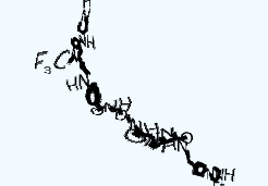 CC[C@H]1CN(c2ccc(CCNC(=O)c3cnc4c(ccn4CC(=O)NCCOCCNC(=O)c4ccc(NCC#Cc5cc6c(NC7CCNCC7)cccc6n5CC(F)(F)F)cc4)c3)cc2)CCN1